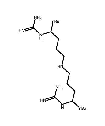 CCCCC(CCCNCCCC(CCCC)NC(=N)N)NC(=N)N